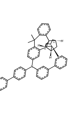 CC1(C)c2ccc(N(c3ccc(-c4ccccc4)cc3)c3cccc(-c4ccccc4)c3)cc2C2[C@H]3C[C@@H]4C[C@@H](C)C[C@@H](C3)C24c2ccccc21